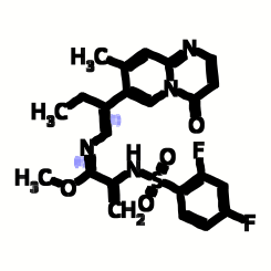 C=C(NS(=O)(=O)c1ccc(F)cc1F)/C(=N\C=C(/CC)c1cn2c(=O)ccnc2cc1C)OC